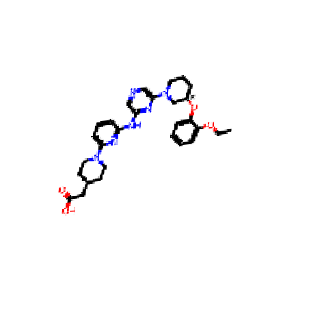 CCOc1ccccc1O[C@@H]1CCCN(c2cncc(Nc3cccc(N4CCC(CC(=O)O)CC4)n3)n2)C1